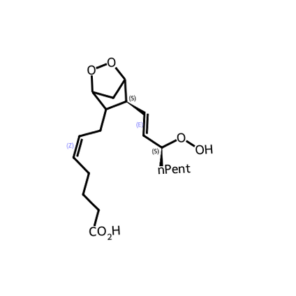 CCCCC[C@@H](/C=C/[C@@H]1C2CC(OO2)C1C/C=C\CCCC(=O)O)OO